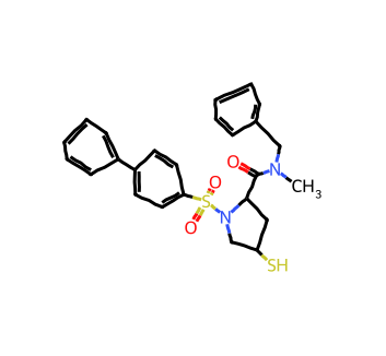 CN(Cc1ccccc1)C(=O)C1CC(S)CN1S(=O)(=O)c1ccc(-c2ccccc2)cc1